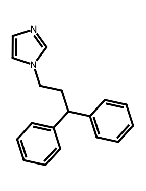 c1ccc(C(CCn2ccnc2)c2ccccc2)cc1